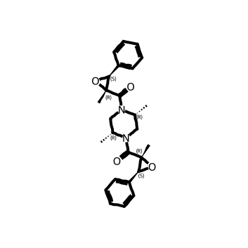 C[C@@H]1CN(C(=O)[C@]2(C)O[C@H]2c2ccccc2)[C@H](C)CN1C(=O)[C@]1(C)O[C@H]1c1ccccc1